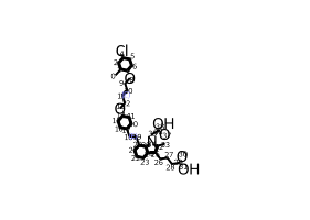 Cc1cc(Cl)ccc1OC/C=C/COc1ccc(/C=C/c2cccc3c(CCCC(=O)O)c(C)n(CC(=O)O)c23)cc1